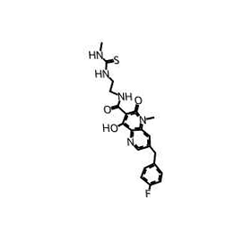 CNC(=S)NCCNC(=O)c1c(O)c2ncc(Cc3ccc(F)cc3)cc2n(C)c1=O